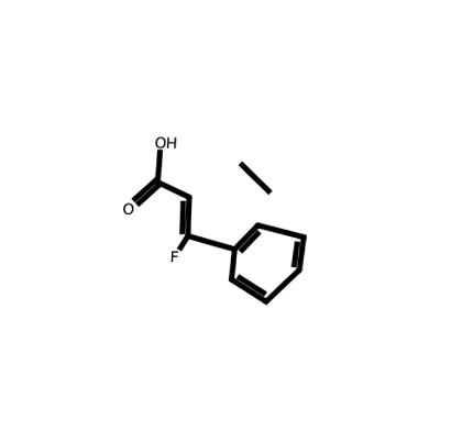 CC.O=C(O)C=C(F)c1ccccc1